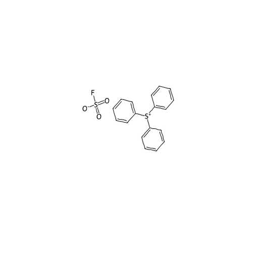 O=S(=O)([O-])F.c1ccc([S+](c2ccccc2)c2ccccc2)cc1